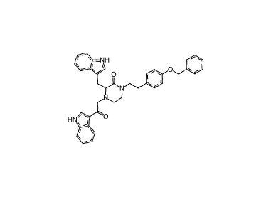 O=C(CN1CCN(CCc2ccc(OCc3ccccc3)cc2)C(=O)C1Cc1c[nH]c2ccccc12)c1c[nH]c2ccccc12